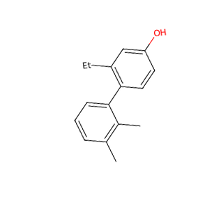 CCc1cc(O)ccc1-c1cccc(C)c1C